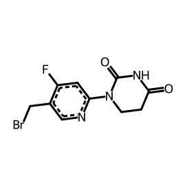 O=C1CCN(c2cc(F)c(CBr)cn2)C(=O)N1